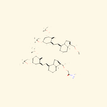 C=C1C(=CC=C2CCC[C@]3(C)C([C@H](C)OCC(=O)N(C)C(C)C)=CCC23)C[C@@H](O[Si](C)(C)C(C)(C)C)C[C@@H]1O[Si](C)(C)C(C)(C)C.C=C1C(=CC=C2CCC[C@]3(C)C([C@H](C)OCC(=O)O)=CCC23)C[C@@H](O[Si](C)(C)C(C)(C)C)C[C@@H]1O[Si](C)(C)C(C)(C)C